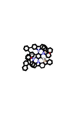 N#Cc1c(-n2c3c(c4ccc(-c5cccc6ccccc56)cc42)CCc2c-3sc3ccccc23)c(-n2c3ccccc3c3ccccc32)c(C#N)c(-n2c3cc(-c4ccccc4-c4cccc5ccccc45)ccc3c3ccc4c5ccccc5sc4c32)c1-n1c2ccccc2c2ccccc21